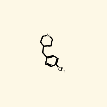 FC(F)(F)c1ccc(CC2CC[N]CC2)cc1